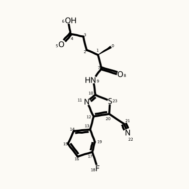 C[C@H](CCC(=O)O)C(=O)Nc1nc(-c2cccc(F)c2)c(C#N)s1